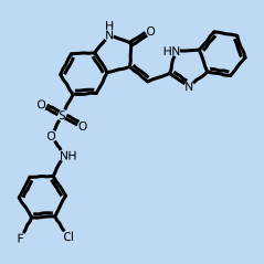 O=C1Nc2ccc(S(=O)(=O)ONc3ccc(F)c(Cl)c3)cc2C1=Cc1nc2ccccc2[nH]1